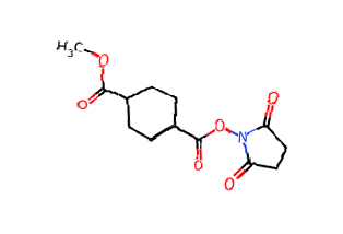 COC(=O)C1CCC(C(=O)ON2C(=O)CCC2=O)CC1